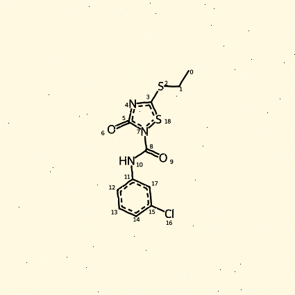 CCSc1nc(=O)n(C(=O)Nc2cccc(Cl)c2)s1